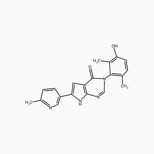 Cc1ccc(-c2cc3c(=O)n(-c4c(C)ccc(O)c4C)cnc3[nH]2)cn1